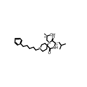 CC(C)C[C@@H]1NC(=O)C2(CCN(CCCCCc3ccccc3)CC2)N(C[C@@H](C)O)C1=O